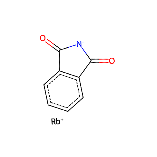 O=C1[N-]C(=O)c2ccccc21.[Rb+]